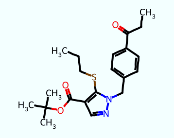 CCCSc1c(C(=O)OC(C)(C)C)cnn1Cc1ccc(C(=O)CC)cc1